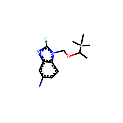 CC(OCn1c(Cl)nc2cc(I)ccc21)[Si](C)(C)C